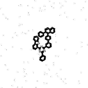 c1ccc(-c2nc(-c3cccc(-c4ccc(-c5c(-c6ccccc6)ccc6ccccc56)cc4)c3)nc(-c3cccc4c3sc3ccccc34)n2)cc1